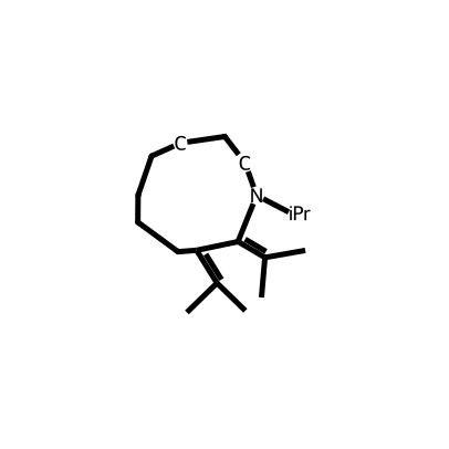 CC(C)=C1CCCCCCCN(C(C)C)C1=C(C)C